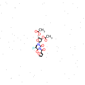 CC(=O)OC[C@H]1O[C@@H](n2cc(F)c(=O)n(C(=O)c3ccco3)c2=O)C[C@@H]1OC(C)=O